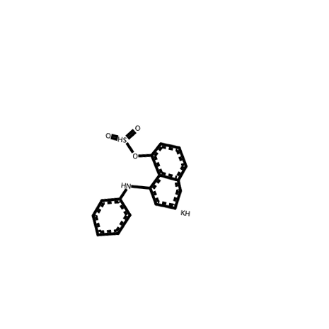 O=[SH](=O)Oc1cccc2cccc(Nc3ccccc3)c12.[KH]